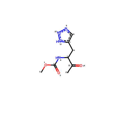 COC(=O)NC(Cc1cnn[nH]1)C(C)=O